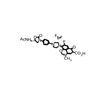 CC(=O)NC[C@H]1CN(c2ccc(N3CCN(c4c(F)cc5c6c4OCN(C)C6=CC(C(=O)O)C5=O)CC3)cc2)C(=O)O1.F[B]F